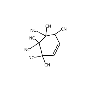 N#CC1C=CC(C#N)(C#N)C(C#N)(C#N)C1(C#N)C#N